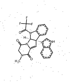 CN1CC(=O)N2C(=C[C@]3(c4c[nH]c5ccccc45)c4ccccc4N(C(=O)C(F)(F)F)[C@H]23)C1=O